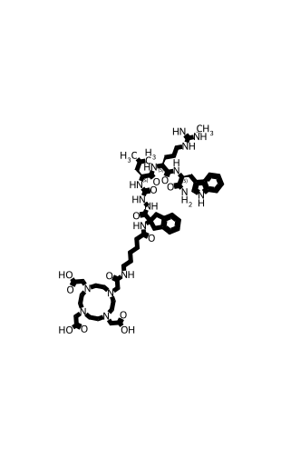 CNC(=N)NCCC[C@H](NC(=O)[C@H](CC(C)C)NC(=O)NNC(=O)C1(NC(=O)CCCCCNC(=O)CN2CCN(CC(=O)O)CCN(CC(=O)O)CCN(CC(=O)O)CC2)Cc2ccccc2C1)C(=O)N[C@@H](Cc1c[nH]c2ccccc12)C(N)=O